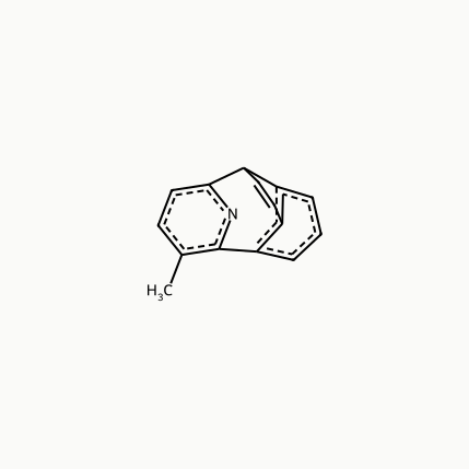 Cc1ccc2nc1-c1cccc3c1C=CC23